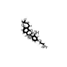 CC(C)CCOc1ccc([C@]2(N)COc3c(ccc4c3CCC(C)(C)O4)C2)c(O)c1